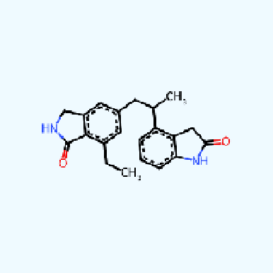 CCc1cc(CC(C)c2cccc3c2CC(=O)N3)cc2c1C(=O)NC2